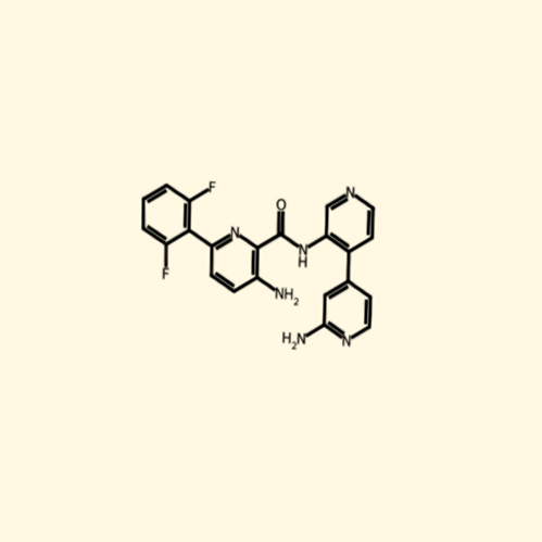 Nc1cc(-c2ccncc2NC(=O)c2nc(-c3c(F)cccc3F)ccc2N)ccn1